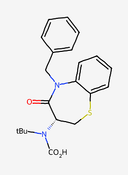 CC(C)(C)N(C(=O)O)[C@H]1CSc2ccccc2N(Cc2ccccc2)C1=O